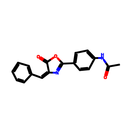 CC(=O)Nc1ccc(C2=NC(=Cc3ccccc3)C(=O)O2)cc1